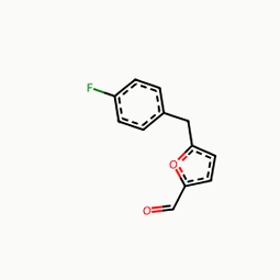 O=Cc1ccc(Cc2ccc(F)cc2)o1